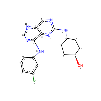 O[C@H]1CC[C@H](Nc2ncc3ncnc(Nc4cccc(Br)c4)c3n2)CC1